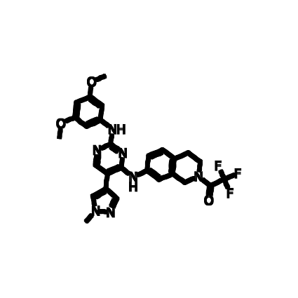 COc1cc(Nc2ncc(-c3cnn(C)c3)c(Nc3ccc4c(c3)CN(C(=O)C(F)(F)F)CC4)n2)cc(OC)c1